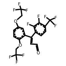 O=CC=C(c1cc(OCC(F)(F)F)ccc1OCC(F)(F)F)c1ccc(C(F)(F)F)c(F)c1F